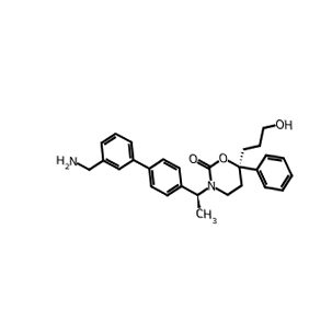 C[C@@H](c1ccc(-c2cccc(CN)c2)cc1)N1CC[C@](CCCO)(c2ccccc2)OC1=O